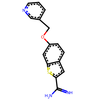 N=C(N)c1cc2ccc(OCc3cccnc3)cc2s1